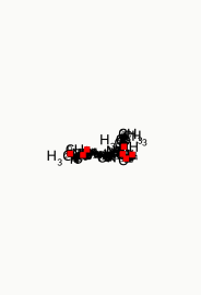 CC(C)c1noc(N2CCC(CCCOc3cnc(N4C[C@H](NC(=O)OC(C)(C)C)[C@@H](N5CCCCC5=O)C4)nc3)CC2)n1